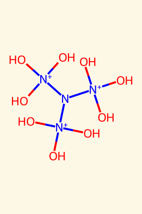 O[N+](O)(O)N([N+](O)(O)O)[N+](O)(O)O